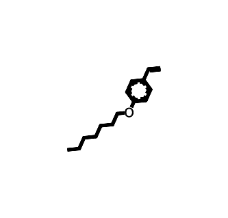 C=Cc1ccc(OCCCCCCC)cc1